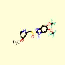 COc1ccnc(C[S+]([O-])c2nc3cc(OC(F)(F)F)c(OC(F)(F)F)cc3[nH]2)c1